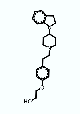 OCCOc1ccc(CCN2CCC(N3CCc4ccccc43)CC2)cc1